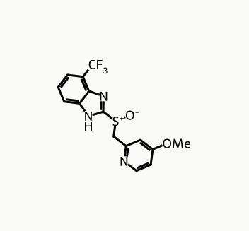 COc1ccnc(C[S+]([O-])c2nc3c(C(F)(F)F)cccc3[nH]2)c1